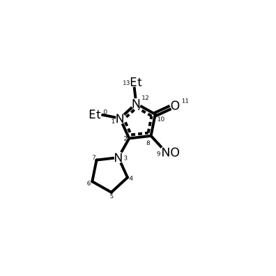 CCn1c(N2CCCC2)c(N=O)c(=O)n1CC